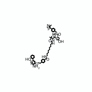 Cc1ncsc1-c1ccc(CNC(=O)[C@@H]2C[C@@H](O)CN2C(=O)[C@@H](NC(=O)CCCCCCCCCNC(=O)c2ccc(CCOc3cc(-c4ccccc4O)nnc3N)cc2)C(C)(C)C)cc1